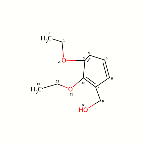 CCOc1cccc([CH]O)c1OCC